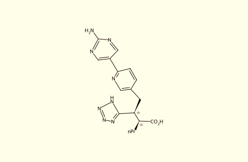 CCC[C@H](C(=O)O)[C@H](Cc1ccc(-c2cnc(N)nc2)nc1)c1nnn[nH]1